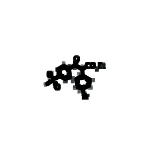 CCOC(=O)C(C(=O)c1ccc(S(C)(=O)=O)cc1)c1ccc(Br)cc1